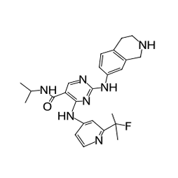 CC(C)NC(=O)c1cnc(Nc2ccc3c(c2)CNCC3)nc1Nc1ccnc(C(C)(C)F)c1